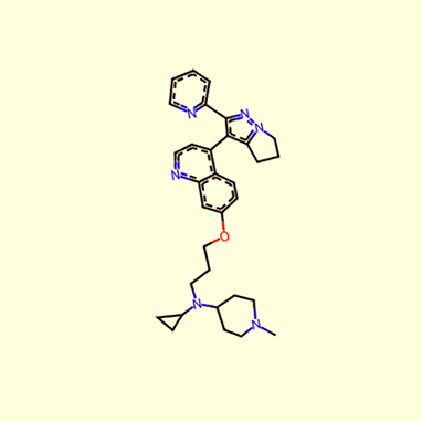 CN1CCC(N(CCCOc2ccc3c(-c4c(-c5ccccn5)nn5c4CCC5)ccnc3c2)C2CC2)CC1